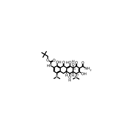 CN(C)c1cc(NC(=O)OCC(C)(C)C)c(O)c2c1C[C@@H]1C(=C(O)[C@]3(O)C(=O)C(C(N)=O)=C(O)[C@@H](N(C)C)[C@@H]3[C@H]1O)C2=O